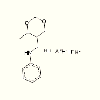 CC1OCOCC1CNc1ccccc1.[Al+3].[H-].[H-].[H-].[LiH]